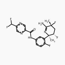 C[C@@]1(F)C[C@H](F)[C@@](C)(c2cc(NC(=O)c3cnc(C(F)F)cn3)ccc2F)N=C1N